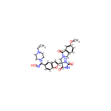 CCN1CCN(C(=NO)c2ccc3oc([C@]4(CN5Cc6ccc(OC)cc6C5=O)NC(=O)NC4=O)cc3c2)CC1